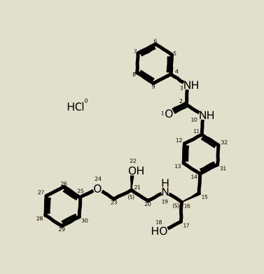 Cl.O=C(Nc1ccccc1)Nc1ccc(C[C@@H](CO)NC[C@H](O)COc2ccccc2)cc1